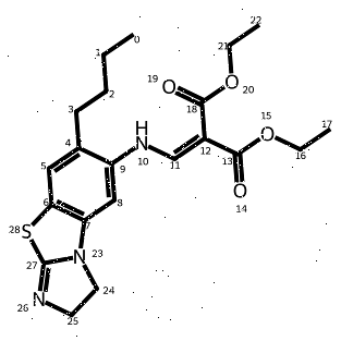 CCCCc1cc2c(cc1NC=C(C(=O)OCC)C(=O)OCC)N1CCN=C1S2